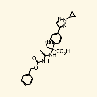 CC(C)(C)C[C@](NC(=S)NC(=O)OCc1ccccc1)(C(=O)O)c1ccc(-c2cnn(C3CC3)n2)cc1